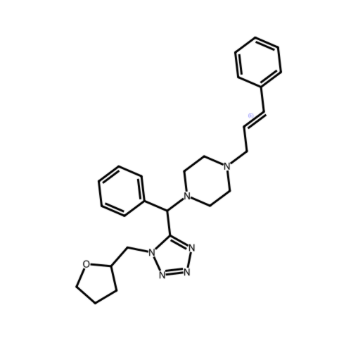 C(=C\c1ccccc1)/CN1CCN(C(c2ccccc2)c2nnnn2CC2CCCO2)CC1